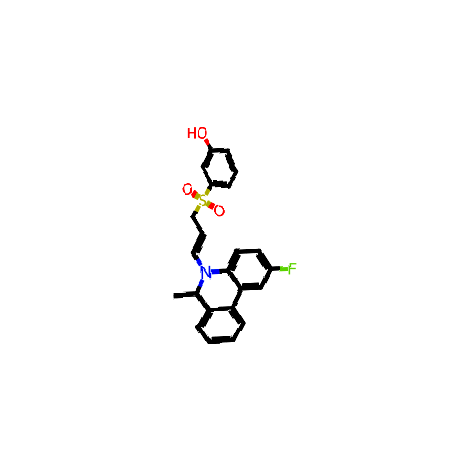 CC1c2ccccc2-c2cc(F)ccc2N1C=CCS(=O)(=O)c1cccc(O)c1